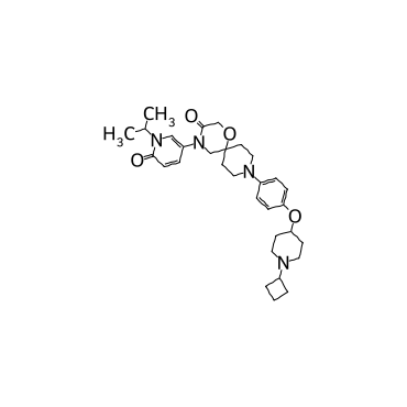 CC(C)n1cc(N2CC3(CCN(c4ccc(OC5CCN(C6CCC6)CC5)cc4)CC3)OCC2=O)ccc1=O